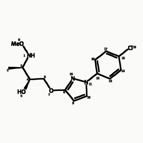 CON[C@H](C)[C@H](O)COc1ccn(-c2ccc(Cl)cc2)n1